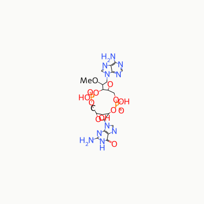 COC1C2OP(=O)(O)OCC3OC(n4cnc5c(=O)[nH]c(N)nc54)C(OP(=O)(O)OCC2OC1n1cnc2c(N)ncnc21)C3O